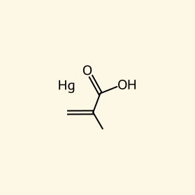 C=C(C)C(=O)O.[Hg]